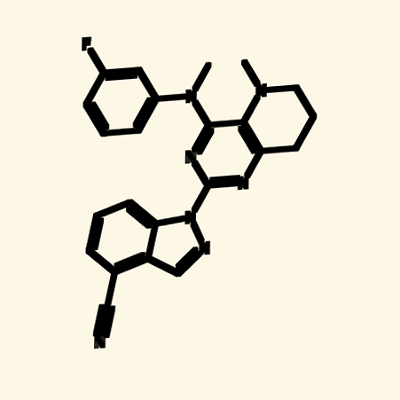 CN1CCCc2nc(-n3ncc4c(C#N)cccc43)nc(N(C)c3cccc(F)c3)c21